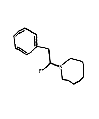 FC(Cc1ccccc1)N1CCCCC1